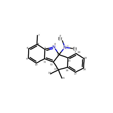 CCN(CC)C12N=c3c(C)cccc3=C1C(C)(C)c1ccccc12